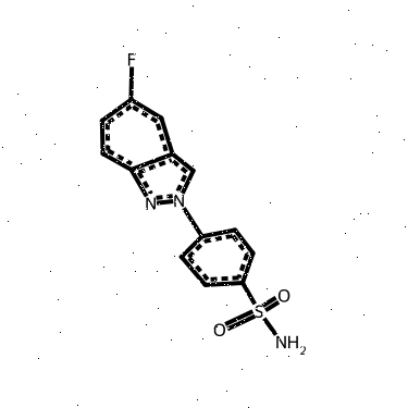 NS(=O)(=O)c1ccc(-n2cc3cc(F)ccc3n2)cc1